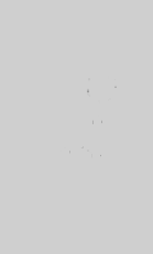 CCC(C)(C)c1ccc(OCC(=O)OC(CC(C)(C)C)OC2CCCCC2)cc1